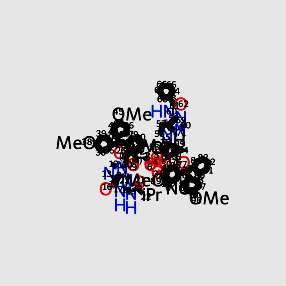 [C-]#[N+]CCOP(=O)(OC[C@H]1O[C@@H](n2cnc3c(=O)[nH]c(NC(=O)C(C)C)nc32)[C@H](OC(c2ccccc2)(c2ccc(OC)cc2)c2ccc(OC)cc2)[C@@H]1OC)O[C@H]1[C@@H](C)[C@H](n2ccc3c(NC(=O)c4ccccc4)ncnc32)[C@H]2C[C@@]21COC(c1ccccc1)(c1ccc(OC)cc1)c1ccc(OC)cc1